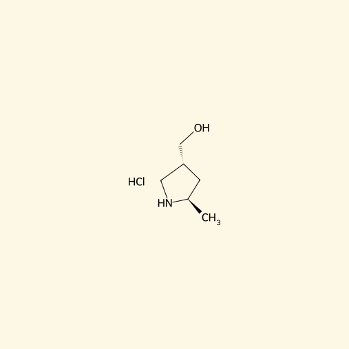 C[C@@H]1C[C@@H](CO)CN1.Cl